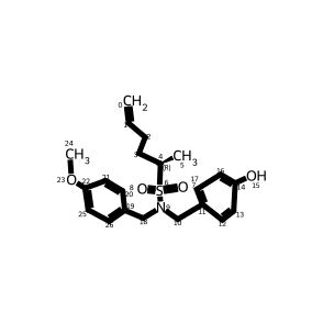 C=CCC[C@@H](C)S(=O)(=O)N(Cc1ccc(O)cc1)Cc1ccc(OC)cc1